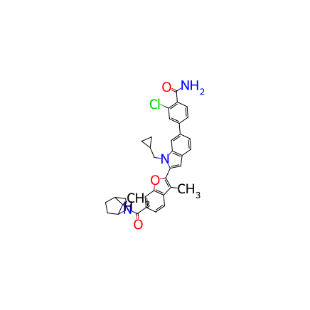 Cc1c(-c2cc3ccc(-c4ccc(C(N)=O)c(Cl)c4)cc3n2CC2CC2)oc2cc(C(=O)N3CC4CCC3[C@@H]4C)ccc12